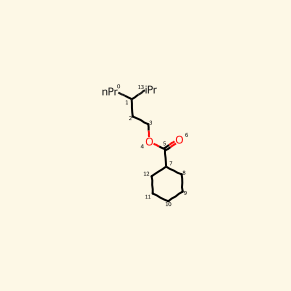 CCCC(CCOC(=O)C1CCCCC1)C(C)C